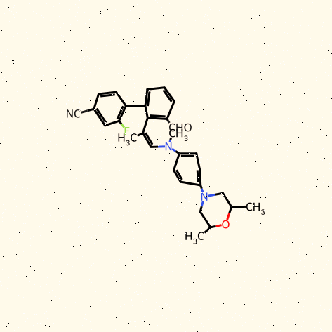 C/C(=C/N(C)c1ccc(N2CC(C)OC(C)C2)cc1)c1c(C=O)cccc1-c1ccc(C#N)cc1F